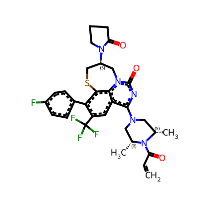 C=CC(=O)N1[C@H](C)CN(c2nc(=O)n3c4c(c(-c5ccc(F)cc5)c(C(F)(F)F)cc24)SC[C@@H](N2CCCC2=O)C3)C[C@@H]1C